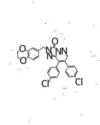 O=c1n(Cc2ccc3c(c2)OCCO3)nc2c(-c3ccc(Cl)cc3)c(-c3ccc(Cl)cc3)cnn12